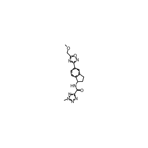 COCc1nc(-c2ccc3c(c2)CCC3NC(=O)c2nnn(C)n2)no1